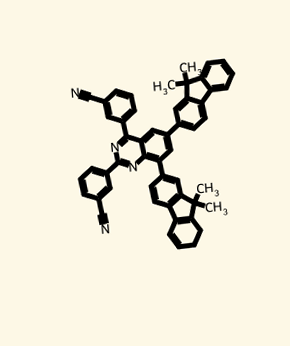 CC1(C)C2=C(C=CCC2)c2ccc(-c3cc(-c4ccc5c(c4)C(C)(C)c4ccccc4-5)cc4c(-c5cccc(C#N)c5)nc(-c5cccc(C#N)c5)nc34)cc21